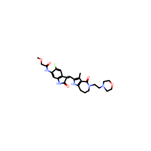 COCC(=O)Nc1cc2c(cc1F)/C(=C/c1[nH]c3c(c1C)C(=O)N(CCN1CCOCC1)CCC3)C(=O)N2